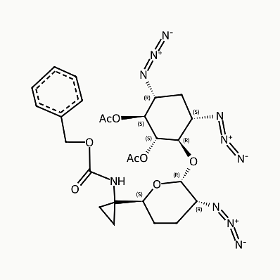 CC(=O)O[C@@H]1[C@@H](OC(C)=O)[C@H](N=[N+]=[N-])C[C@H](N=[N+]=[N-])[C@H]1O[C@H]1O[C@H](C2(NC(=O)OCc3ccccc3)CC2)CC[C@H]1N=[N+]=[N-]